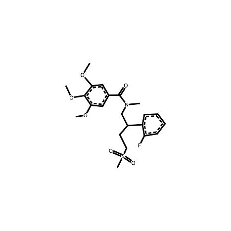 COc1cc(C(=O)N(C)CC(CCS(C)(=O)=O)c2ccccc2F)cc(OC)c1OC